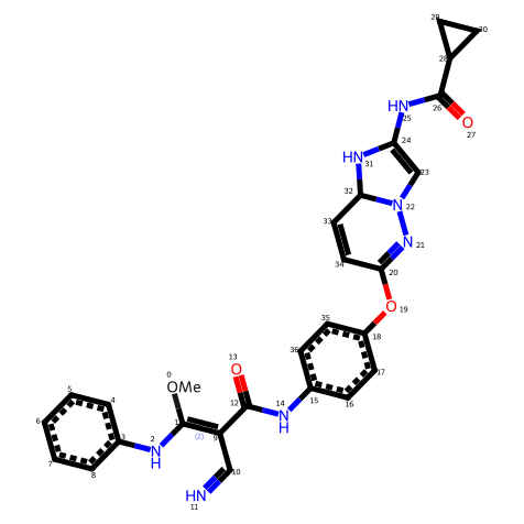 CO/C(Nc1ccccc1)=C(/C=N)C(=O)Nc1ccc(OC2=NN3C=C(NC(=O)C4CC4)NC3C=C2)cc1